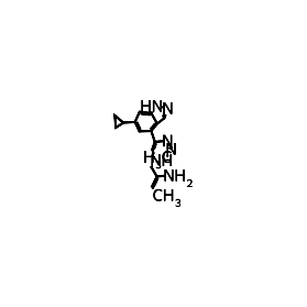 C/C=C(\N)CN/C=C(\N=N/C)c1cc(C2CC2)cc2[nH]ncc12